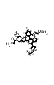 C=CC(=O)N1Cc2cc(-c3nc(-c4cnn(CC(F)F)c4)c4ccsc4c3-c3c(F)cc(F)cc3OCCOC)nn2C[C@H]1C